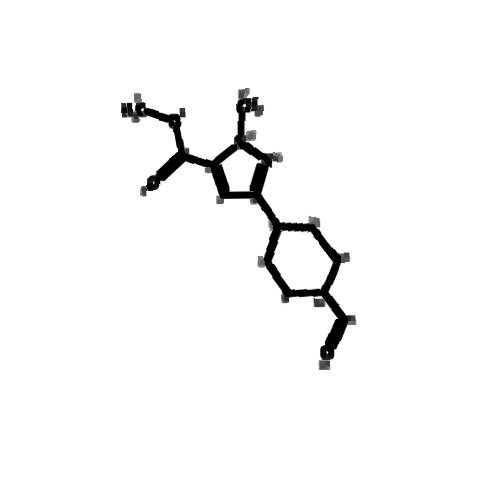 COC(=O)c1cc(C2CCC(C=O)CC2)nn1C